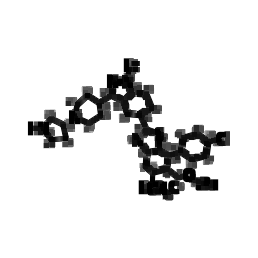 CCOC(=O)[C@@H](OC(C)(C)C)c1c(C)cc2nc(-c3ccc4c(c3)c(C3CCN([C@@H]5CCNC5)CC3)nn4CC)sc2c1-c1ccc(Cl)cc1